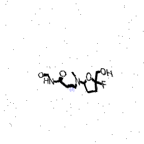 CN(/C=C\C(=O)NC=O)C1CCC(F)(CO)O1